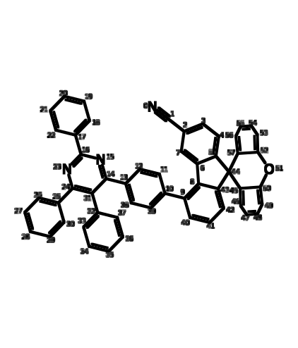 N#Cc1ccc2c(c1)-c1c(-c3ccc(-c4nc(-c5ccccc5)nc(-c5ccccc5)c4-c4ccccc4)cc3)cccc1C21c2ccccc2Oc2ccccc21